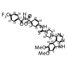 COc1cc2[nH]c3ncnc(N4CCN(C(=S)Nc5ccc(S(=O)(=O)NC(=O)c6ccc(C(F)(F)F)cc6)cc5)CC4)c3c2cc1OC